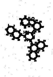 c1ccc2cc(C3N=C(c4cc5ccccc5c5ccccc45)N=C(c4cccc5oc6ccncc6c45)N3)ccc2c1